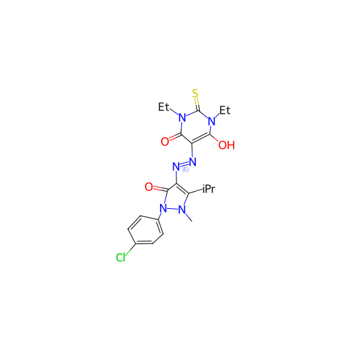 CCn1c(O)c(/N=N/c2c(C(C)C)n(C)n(-c3ccc(Cl)cc3)c2=O)c(=O)n(CC)c1=S